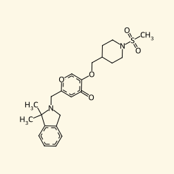 CC1(C)c2ccccc2CN1Cc1cc(=O)c(OCC2CCN(S(C)(=O)=O)CC2)co1